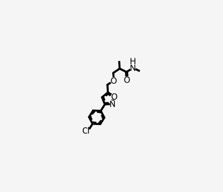 CNC(=O)C(C)COCc1cc(-c2ccc(Cl)cc2)no1